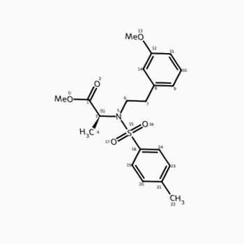 COC(=O)[C@H](C)N(CCc1cccc(OC)c1)S(=O)(=O)c1ccc(C)cc1